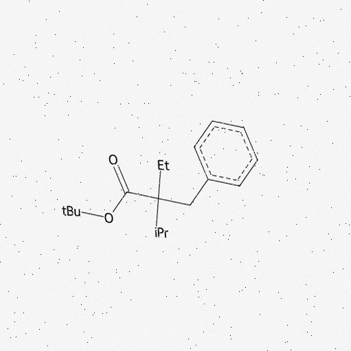 CCC(Cc1ccccc1)(C(=O)OC(C)(C)C)C(C)C